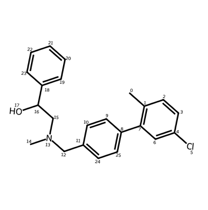 Cc1ccc(Cl)cc1-c1ccc(CN(C)CC(O)c2ccccc2)cc1